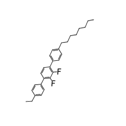 CCCCCCCCc1ccc(-c2ccc(-c3ccc(CC)cc3)c(F)c2F)cc1